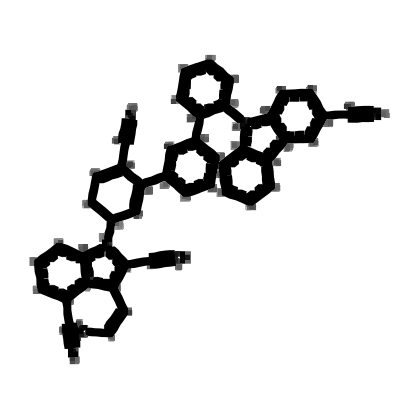 C#Cc1c(/C=C\C)c2c(C#N)cccc2n1C1C=C(c2cccc(-c3ccccc3-n3c4ccccc4c4cc(C#N)ccc43)c2)C(C#N)=CC1